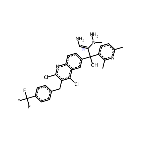 Cc1ccc(C(O)(/C(=C/N)N(C)N)c2ccc3nc(Cl)c(Cc4ccc(C(F)(F)F)cc4)c(Cl)c3c2)c(C)n1